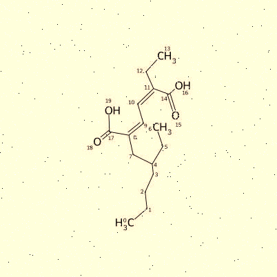 CCCCC(CC)CC(=CC=C(CC)C(=O)O)C(=O)O